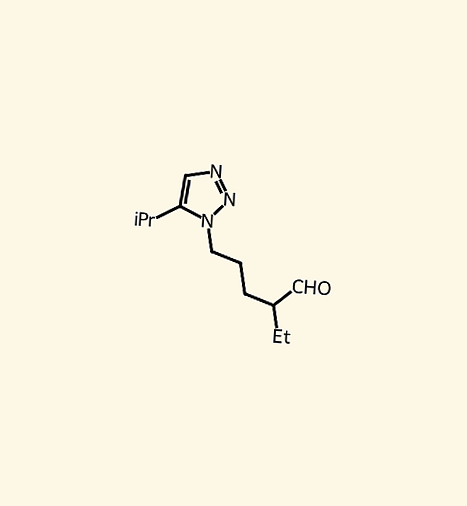 CCC(C=O)CCCn1nncc1C(C)C